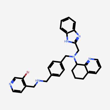 Brc1cnccc1CNCc1ccc(CN(Cc2nc3ccccc3[nH]2)C2CCCc3cccnc32)cc1